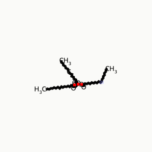 CCCCCCCC/C=C\CCCCCCCCCC(=O)OC[C@H](COC(=O)CCCCCCCCCCCCCCCCC)OC(=O)CCCCCCCCCCCCCCC